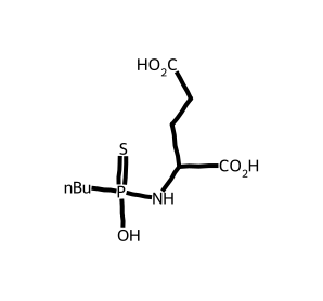 CCCCP(O)(=S)NC(CCC(=O)O)C(=O)O